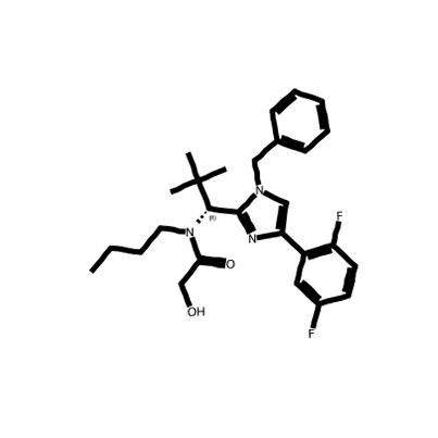 CCCCN(C(=O)CO)[C@@H](c1nc(-c2cc(F)ccc2F)cn1Cc1ccccc1)C(C)(C)C